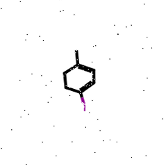 CC1=CC=C(I)CC1